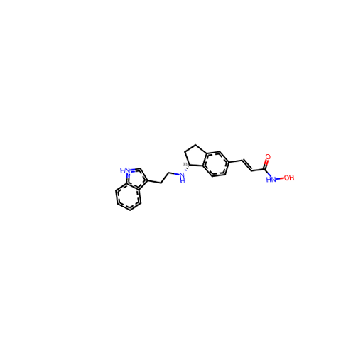 O=C(C=Cc1ccc2c(c1)CC[C@H]2NCCc1c[nH]c2ccccc12)NO